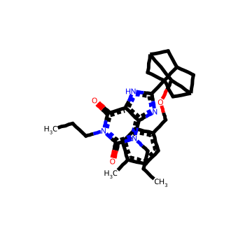 CCCn1c(=O)c2[nH]c(C34CC5CC3CC(C4)C5OCc3ccc(C)cc3)nc2n(CCC)c1=O